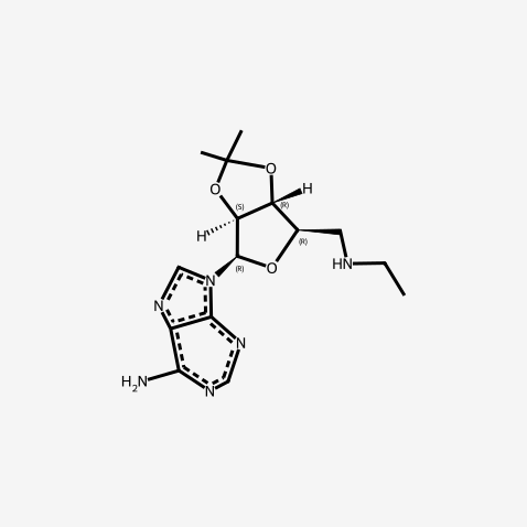 CCNC[C@H]1O[C@@H](n2cnc3c(N)ncnc32)[C@H]2OC(C)(C)O[C@@H]21